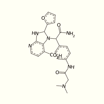 CN(C)CC(=O)Nc1ccc(C(C(N)=O)N2c3c(C(=O)O)ccnc3NC2c2ccco2)cc1